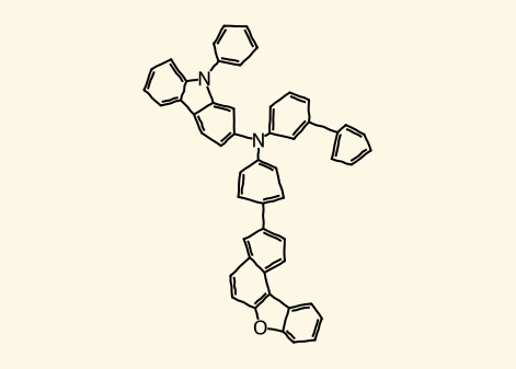 c1ccc(-c2cccc(N(c3ccc(-c4ccc5c(ccc6oc7ccccc7c65)c4)cc3)c3ccc4c5ccccc5n(-c5ccccc5)c4c3)c2)cc1